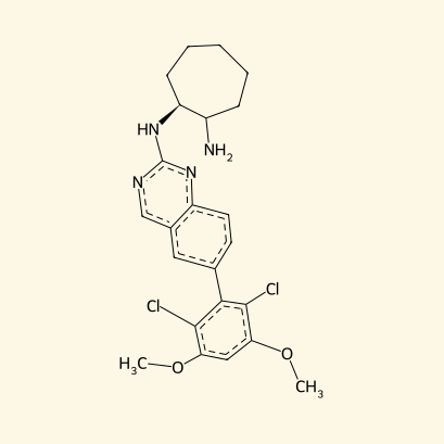 COc1cc(OC)c(Cl)c(-c2ccc3nc(N[C@H]4CCCCCC4N)ncc3c2)c1Cl